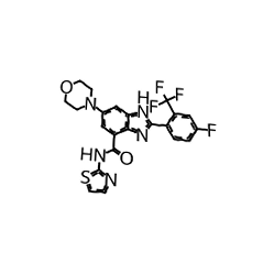 O=C(Nc1nccs1)c1cc(N2CCOCC2)cc2[nH]c(-c3ccc(F)cc3C(F)(F)F)nc12